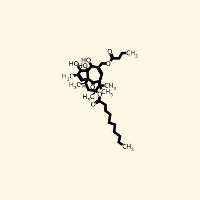 CCCCCCCCCC(=O)O[C@]1(C)C[C@@H](C)C23C=C(C)C(O)C2(O)C(O)C(COC(=O)CCC)=CC(C3=O)C1(C)C